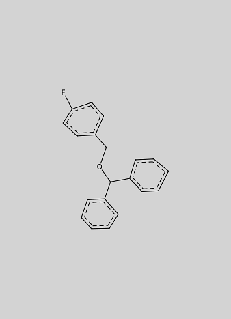 Fc1ccc(COC(c2ccccc2)c2ccccc2)cc1